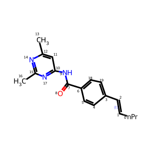 CCC/C=C/c1ccc(C(=O)Nc2cc(C)nc(C)n2)cc1